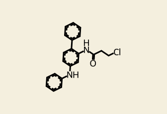 O=C(CCCl)Nc1cc(Nc2ccccc2)ccc1-c1ccccc1